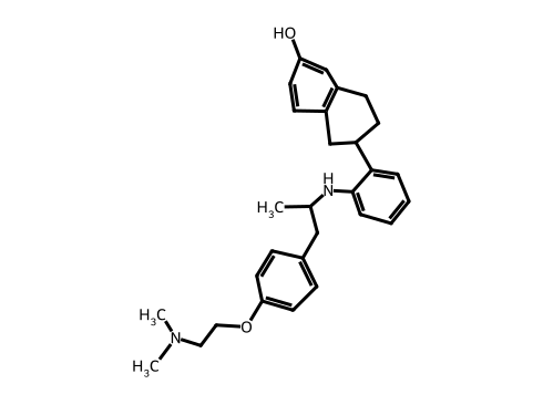 CC(Cc1ccc(OCCN(C)C)cc1)Nc1ccccc1C1CCc2cc(O)ccc2C1